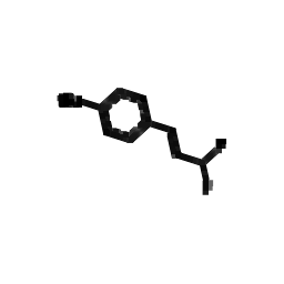 CC(C)(C)c1ccc(C=CC(F)F)cc1